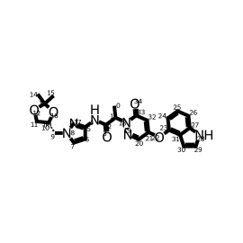 CC(C(=O)Nc1ccn(C[C@@H]2COC(C)(C)O2)n1)n1ncc(Oc2cccc3[nH]ccc23)cc1=O